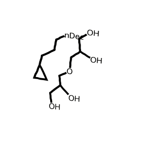 CCCCCCCCCCCCCC1CC1.OCC(O)COCC(O)CO